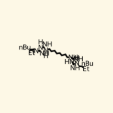 CCCCC(CC)CNC(=N)NC(=N)NCCCCCCCCNC(=N)NC(=N)NCC(CC)CCCC